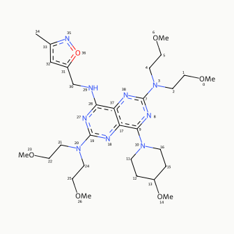 COCCN(CCOC)c1nc(N2CCC(OC)CC2)c2nc(N(CCOC)CCOC)nc(NCc3cc(C)no3)c2n1